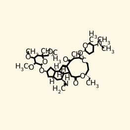 C=N[C@H]1C[C@@H]2C[C@@H](O[C@@H]3OC(C)(COC)CC(OC)C3OC)C[C@H]2[C@@H]2C=C3C(=O)[C@H](C)[C@@H](O[C@H]4CC[C@H](N(C)C)C(C)O4)CCC[C@H](CC)OC(=O)C[C@H]3[C@@H]21